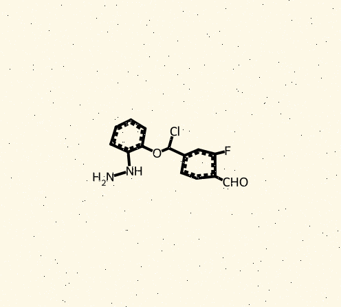 NNc1ccccc1OC(Cl)c1ccc(C=O)c(F)c1